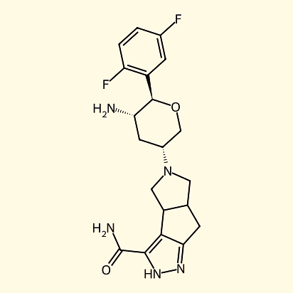 NC(=O)c1[nH]nc2c1C1CN([C@H]3CO[C@H](c4cc(F)ccc4F)[C@@H](N)C3)CC1C2